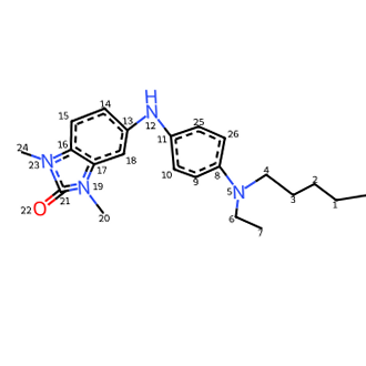 CCCCCN(CC)c1ccc(Nc2ccc3c(c2)n(C)c(=O)n3C)cc1